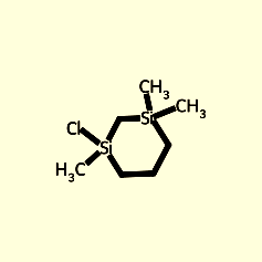 C[Si]1(C)CCC[Si](C)(Cl)C1